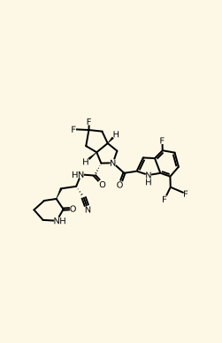 N#C[C@H](C[C@@H]1CCCNC1=O)NC(=O)[C@@H]1[C@@H]2CC(F)(F)C[C@@H]2CN1C(=O)c1cc2c(F)ccc(C(F)F)c2[nH]1